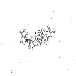 C[C@@H]1C[C@H]2[C@@H]3CCC4=CC(=O)C(F)=C(F)[C@]4(C)[C@H]3[C@@H](O)C[C@]2(C)[C@@]1(OC(=O)c1ccco1)C(=S)OCF